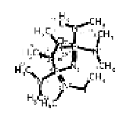 CC[N+](C)=P(N=P(N(C)C)(N(C)C)N(C)C)(N(C)C)N(C)C